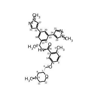 Cc1ccc(OC[C@H]2CN(C)CCO2)cc1C(=O)N[C@H](C)c1cc(-c2cnn(C)c2)cc(-c2cnn(C)c2)c1